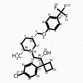 C[C@@H]1CC[C@H](COc2ccc(C(F)(F)F)cc2)CN1C[C@H](O)C1(c2ccc(Cl)cc2)CCC1